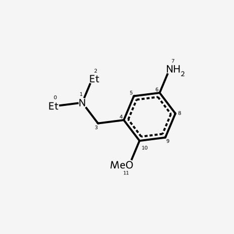 CCN(CC)Cc1cc(N)ccc1OC